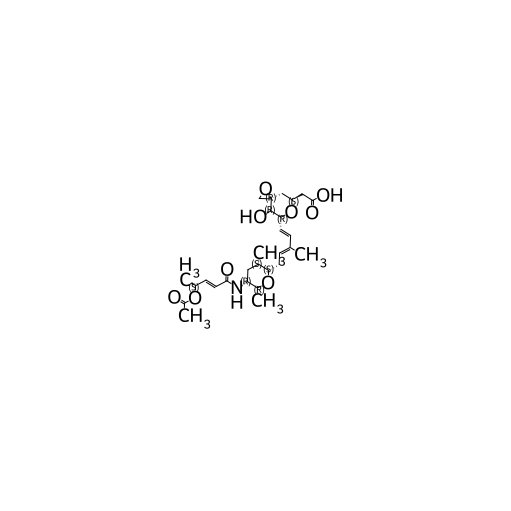 CC(=O)O[C@@H](C)C=CC(=O)N[C@@H]1C[C@H](C)[C@H](CC=C(C)C=C[C@H]2O[C@H](CC(=O)O)C[C@@]3(CO3)[C@@H]2O)O[C@@H]1C